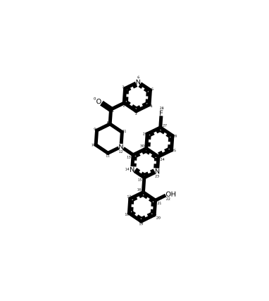 O=C(c1cccnc1)C1CCCN(c2nc(-c3ccccc3O)nc3ccc(F)cc23)C1